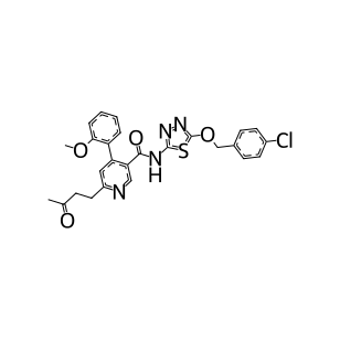 COc1ccccc1-c1cc(CCC(C)=O)ncc1C(=O)Nc1nnc(OCc2ccc(Cl)cc2)s1